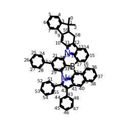 CC1(C)c2ccccc2C2=Cc3c(c4cccc5c4n3-c3cc(-c4ccccc4)cc4c3B5c3c5ccccc5cc5c(-c6ccccc6)c(-c6ccccc6)n-4c35)CC21